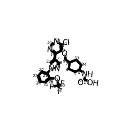 O=C(O)NC1CCC(COc2c(Cl)ncnc2-c2cnn(-c3ccccc3OC(F)(F)F)c2)CC1